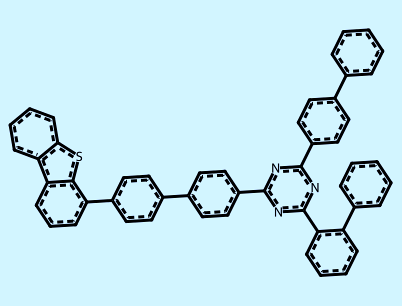 c1ccc(-c2ccc(-c3nc(-c4ccc(-c5ccc(-c6cccc7c6sc6ccccc67)cc5)cc4)nc(-c4ccccc4-c4ccccc4)n3)cc2)cc1